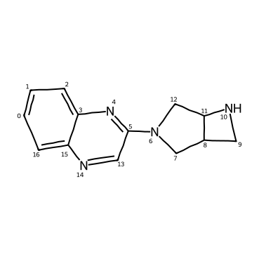 c1ccc2nc(N3CC4CNC4C3)cnc2c1